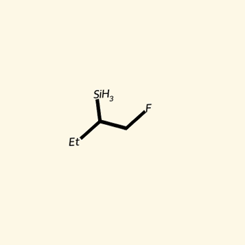 CCC([SiH3])CF